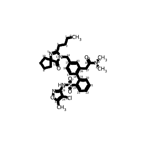 CCCCC1=NC2(CCCC2)C(=O)N1Cc1ccc(-c2ccccc2S(=O)(=O)Nc2noc(C)c2Cl)c(CC(=O)N(C)C)c1